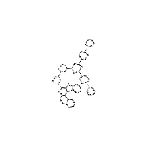 c1ccc(-c2ccc(-c3cc(-c4cccc(-c5cccc(-c6nc7ccc8ccccc8c7c7c6sc6ccccc67)c5)c4)nc(-c4ccc(-c5ccccc5)cc4)n3)cc2)cc1